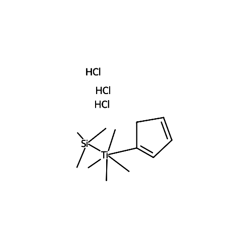 C[Si](C)(C)[Ti]([CH3])([CH3])([CH3])([CH3])[C]1=CC=CC1.Cl.Cl.Cl